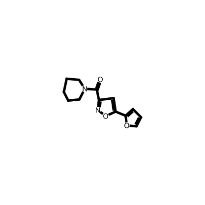 O=C(c1cc(-c2ccco2)on1)N1CCCCC1